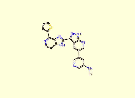 CC(C)Nc1cncc(-c2cnc3[nH]nc(-c4nc5c(-c6cccs6)nccc5[nH]4)c3c2)c1